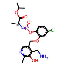 Cc1ncc(COc2cc(Cl)ccc2O[P+]([O-])=N[C@@H](C)C(=O)OC(C)C)c(CN)c1O